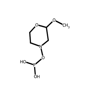 COC1CN(OP(O)O)CCO1